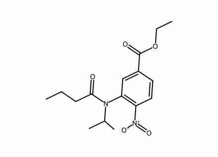 CCCC(=O)N(c1cc(C(=O)OCC)ccc1[N+](=O)[O-])C(C)C